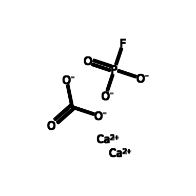 O=C([O-])[O-].O=P([O-])([O-])F.[Ca+2].[Ca+2]